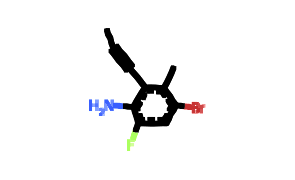 CC#Cc1c(C)c(Br)cc(F)c1N